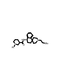 CC(=O)N1CCCC(C(=O)N[C@@H]2CCC3(CCN(CCC(C)(C)C)CC3)c3ccccc32)C1